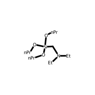 CCCO[Si](CN(CC)CC)(OCCC)OCCC